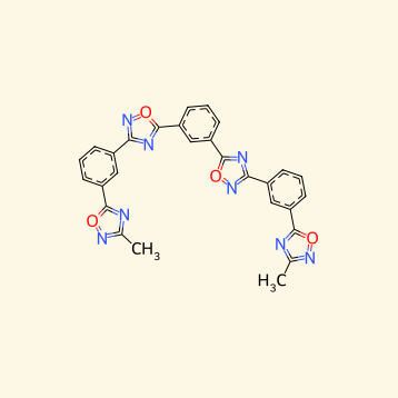 Cc1noc(-c2cccc(-c3noc(-c4cccc(-c5nc(-c6cccc(-c7nc(C)no7)c6)no5)c4)n3)c2)n1